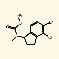 CN(C(=O)OC(C)(C)C)C1CCc2c1ccc(Br)c2Cl